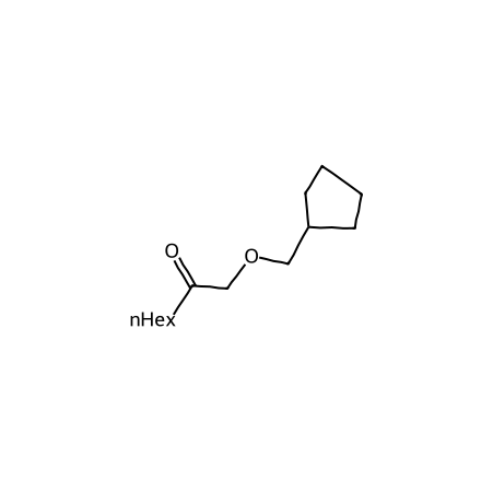 CCCCCCC(=O)COCC1CCCC1